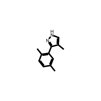 Cc1ccc(C)c(-c2n[nH]cc2C)c1